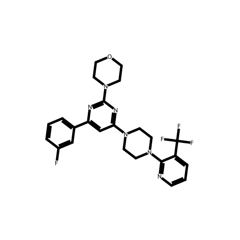 Fc1cccc(-c2cc(N3CCN(c4ncccc4C(F)(F)F)CC3)nc(N3CCOCC3)n2)c1